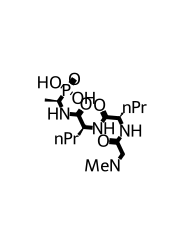 CCC[C@H](NC(=O)CNC)C(=O)N[C@@H](CCC)C(=O)N[C@@H](C)P(=O)(O)O